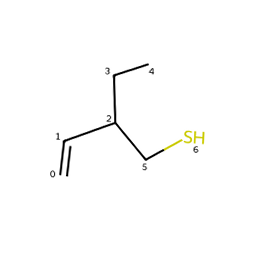 C=CC(CC)CS